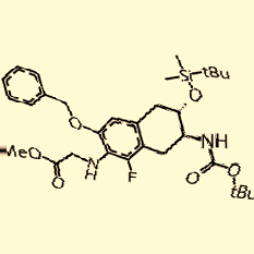 COC(=O)CNc1c(OCc2ccccc2)cc2c(c1F)C[C@H](NC(=O)OC(C)(C)C)[C@@H](O[Si](C)(C)C(C)(C)C)C2